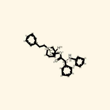 O=C(O[C@H]1C[N+]2(CCc3ccccc3)CCC1CC2)[C@H](Nc1ccccc1)c1ccccc1